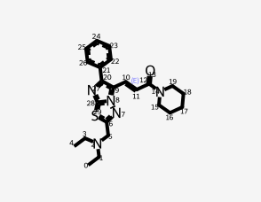 CCN(CC)Cc1nn2c(/C=C/C(=O)N3CCCCC3)c(-c3ccccc3)nc2s1